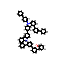 c1ccc(-c2ccc(-n3c4ccc(-c5ccc6c(c5)c5ccccc5n6-c5ccc(-c6cccc7c6oc6ccccc67)cc5-c5ccccc5)cc4c4c(-c5cccc(-c6ccccc6)c5)cccc43)cc2)cc1